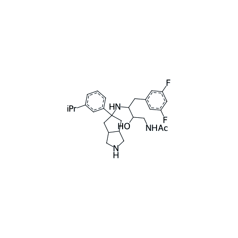 CC(=O)NCC(O)C(Cc1cc(F)cc(F)c1)NC1(c2cccc(C(C)C)c2)CC2CNCC2C1